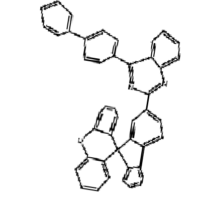 c1ccc(-c2ccc(-c3nc(-c4ccc5c(c4)C4(c6ccccc6Oc6ccccc64)c4ccccc4-5)nc4ccccc34)cc2)cc1